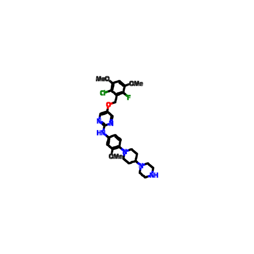 COc1cc(Nc2ncc(OCc3c(F)c(OC)cc(OC)c3Cl)cn2)ccc1N1CCC(N2CCNCC2)CC1